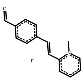 C[n+]1ccccc1/C=C/c1ccc(C=O)cc1.[I-]